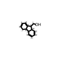 OCC1C2=CC=CCC2C2C=CC=CC12